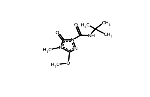 COc1nn(C(=O)NC(C)(C)C)c(=O)n1C